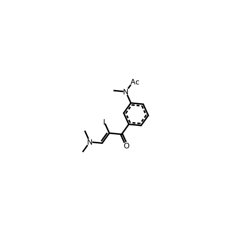 CC(=O)N(C)c1cccc(C(=O)C(I)=CN(C)C)c1